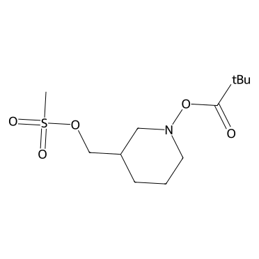 CC(C)(C)C(=O)ON1CCCC(COS(C)(=O)=O)C1